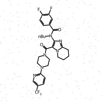 CCCCN(C(=O)c1ccc(F)c(F)c1)c1nc2n(c1C(=O)N1CCN(c3ccc(C(F)(F)F)cn3)CC1)CCCC2